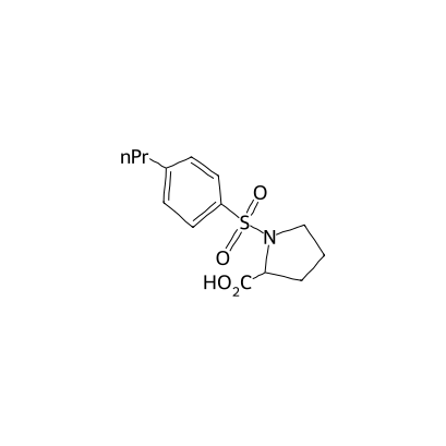 CCCc1ccc(S(=O)(=O)N2CCCC2C(=O)O)cc1